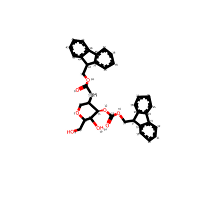 O=C(BC1COC(CO)C(O)[C@@H]1OC(=O)OCC1c2ccccc2-c2ccccc21)OCC1c2ccccc2-c2ccccc21